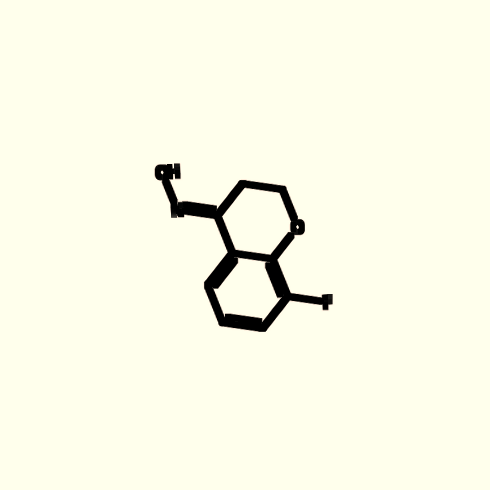 ON=C1CCOc2c(F)cccc21